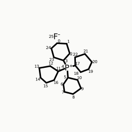 C1CCC([P+](C2CCCCC2)(C2CCCCC2)C2CCCCC2)CC1.[F-]